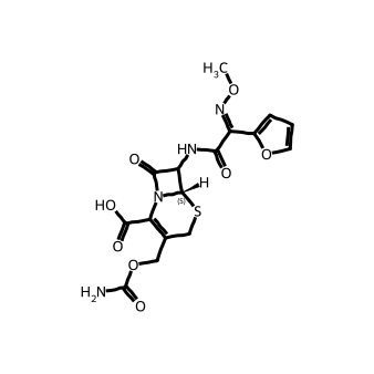 CON=C(C(=O)NC1C(=O)N2C(C(=O)O)=C(COC(N)=O)CS[C@@H]12)c1ccco1